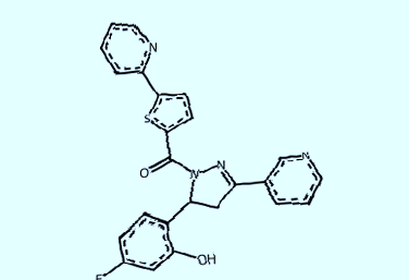 O=C(c1ccc(-c2ccccn2)s1)N1N=C(c2cccnc2)CC1c1ccc(F)cc1O